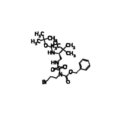 CC(C)(C)OC(=O)N[C@H](CNS(=O)(=O)N(CCBr)C(=O)OCc1ccccc1)C(C)(C)C